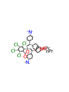 CCCOc1ccc(C(=CC2(C=C(c3ccc(OCCC)cc3)c3ccc(N(C)C)cc3)OC(=O)c3c(Cl)c(Cl)c(Cl)c(Cl)c32)c2ccc(N(C)C)cc2)cc1